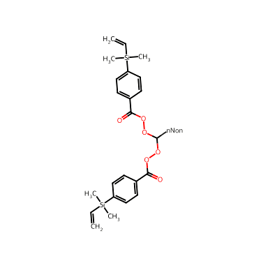 [CH2]CCCCCCCC[C](OOC(=O)c1ccc([Si](C)(C)C=C)cc1)OOC(=O)c1ccc([Si](C)(C)C=C)cc1